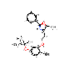 CCCCc1ccc(OC(C)(C)C(=O)O)cc1OCCc1nc(-c2ccccc2)oc1C